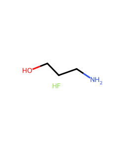 F.NCCCO